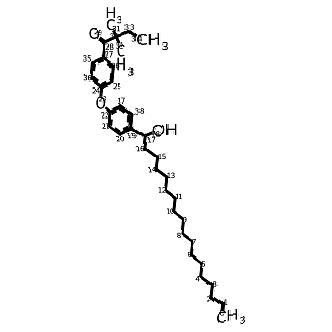 CCCCCCCCCCCCCCCCCC(O)c1ccc(Oc2ccc(C(=O)C(C)(C)CC)cc2)cc1